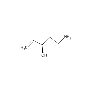 C=C[C@H](O)CCN